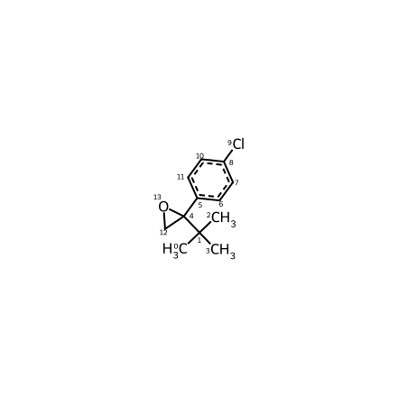 CC(C)(C)C1(c2ccc(Cl)cc2)CO1